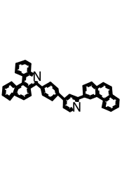 c1ccc2c(c1)ccc1ccc(-c3cc(-c4ccc(-c5nc6ccccc6c6c5ccc5ccccc56)cc4)ccn3)cc12